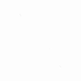 c1ccc(N(c2ccccc2)c2ccc(B3c4ccccc4B4c5cccc6c5B(c5ccccc5B6c5ccc(-n6c7ccccc7c7ccccc76)c6ccccc56)c5cccc3c54)c3ccccc23)cc1